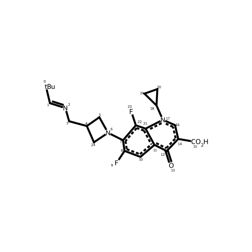 CC(C)(C)C=NCC1CN(c2c(F)cc3c(=O)c(C(=O)O)cn(C4CC4)c3c2F)C1